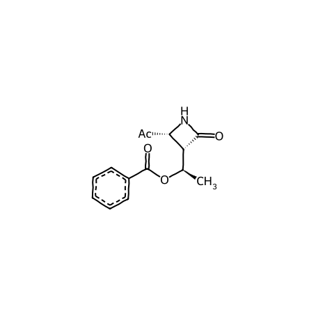 CC(=O)[C@@H]1NC(=O)[C@@H]1[C@@H](C)OC(=O)c1ccccc1